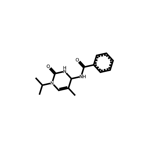 CC1=CN(C(C)C)C(=O)NC1NC(=O)c1ccccc1